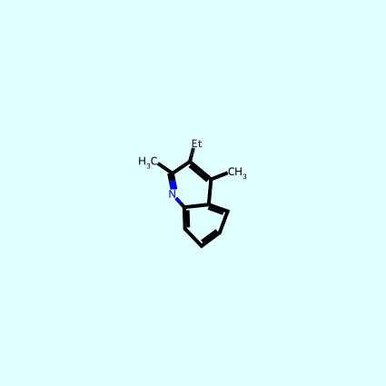 [CH2]Cc1c(C)nc2ccccc2c1C